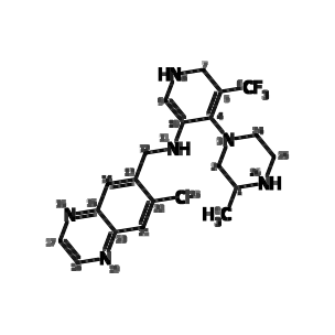 CC1CN(C2=C(C(F)(F)F)CNC=C2NCc2cc3nccnc3cc2Cl)CCN1